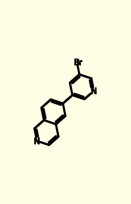 Brc1cncc(-c2ccc3cnccc3c2)c1